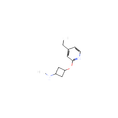 CCc1ccnc(OC2CC(NC)C2)c1